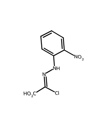 O=C(O)C(Cl)=NNc1ccccc1[N+](=O)[O-]